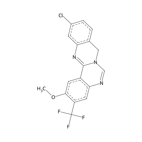 COc1cc2c(cc1C(F)(F)F)N=CN1Cc3ccc(Cl)cc3N=C21